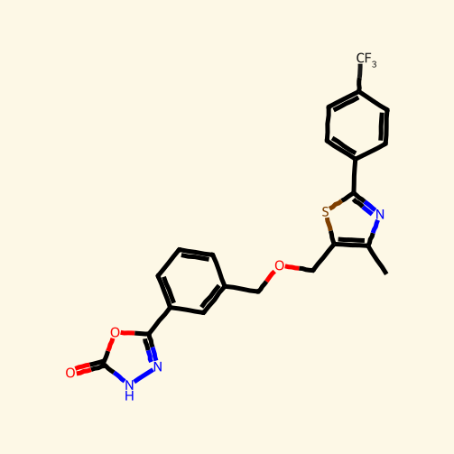 Cc1nc(-c2ccc(C(F)(F)F)cc2)sc1COCc1cccc(-c2n[nH]c(=O)o2)c1